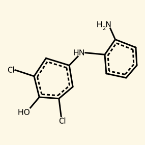 Nc1ccccc1Nc1cc(Cl)c(O)c(Cl)c1